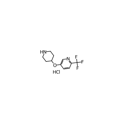 Cl.FC(F)(F)c1ccc(OC2CCNCC2)cn1